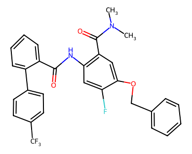 CN(C)C(=O)c1cc(OCc2ccccc2)c(F)cc1NC(=O)c1ccccc1-c1ccc(C(F)(F)F)cc1